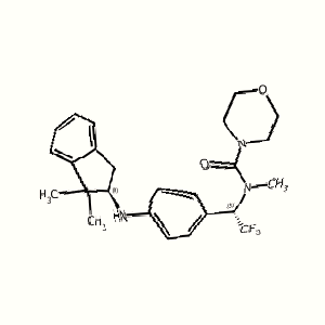 CN(C(=O)N1CCOCC1)[C@@H](c1ccc(N[C@@H]2Cc3ccccc3C2(C)C)cc1)C(F)(F)F